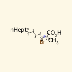 CCCCCCCCCCC/C(Br)=C(/C)C(=O)O